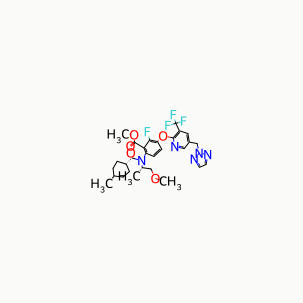 COC[C@H](C)N(c1ccc(Oc2ncc(Cn3nccn3)cc2C(F)(F)F)c(F)c1C(=O)OC)C(=O)[C@H]1CC[C@H](C)CC1